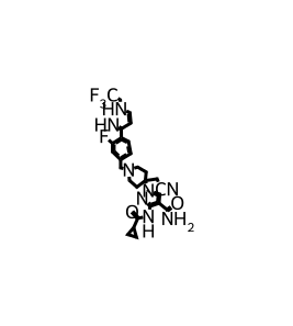 N#CCC1(n2cc(C(N)=O)c(NC(=O)C3CC3)n2)CCN(Cc2ccc(C(=N)/C=C\NCC(F)(F)F)c(F)c2)CC1